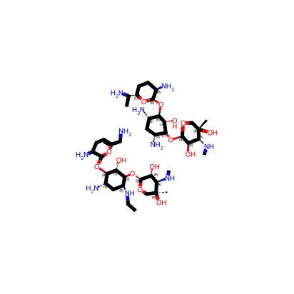 CCN[C@@H]1C[C@H](N)[C@@H](OC2OC(CN)=CCC2N)[C@H](O)[C@H]1O[C@H]1OC[C@](C)(O)[C@H](NC)[C@H]1O.CN[C@@H]1[C@@H](O)[C@@H](O[C@@H]2[C@@H](O)[C@H](O[C@H]3O[C@H](C(C)N)CC[C@H]3N)[C@@H](N)C[C@H]2N)OC[C@]1(C)O